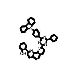 Oc1ccccc1-c1ccc2ccc3ccc(-c4nc(-c5ccccc5)nc(-c5ccc(-n6c7ccccc7c7ccccc76)cc5)n4)nc3c2n1